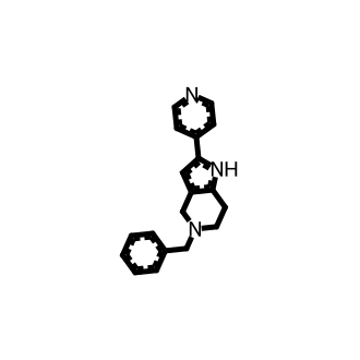 c1ccc(CN2CCc3[nH]c(-c4ccncc4)cc3C2)cc1